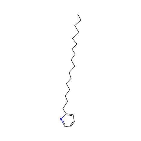 CCCCCCCCCCCCCCCCCc1ccccn1